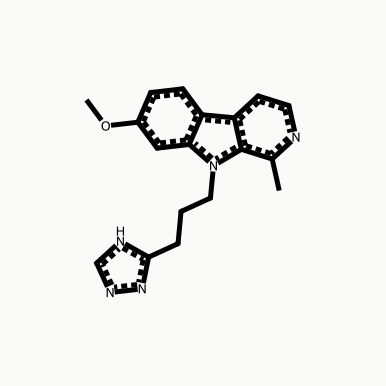 COc1ccc2c3ccnc(C)c3n(CCCc3nnc[nH]3)c2c1